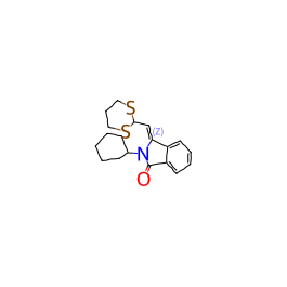 O=C1c2ccccc2/C(=C/C2SCCCS2)N1C1CCCCC1